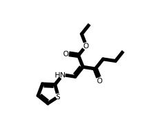 CCCC(=O)C(=CNc1cccs1)C(=O)OCC